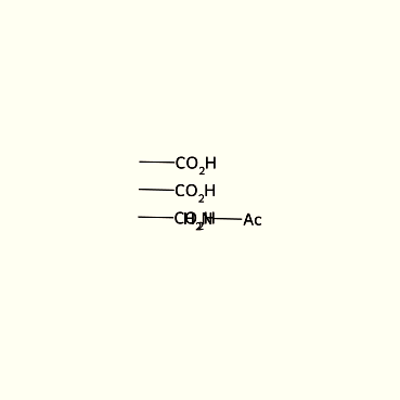 CC(=O)O.CC(=O)O.CC(=O)O.CC(N)=O